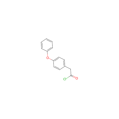 O=C(Cl)Cc1ccc(Oc2ccccc2)cc1